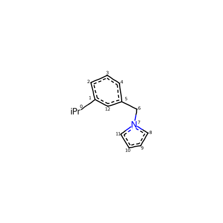 CC(C)c1cccc(Cn2cccc2)c1